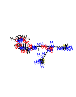 COC(=O)N1C[C@@H]2C(=O)[C@@]23C2=C[C@H](C(=O)c4cc5cc(OC)c(OCCNC(=O)[C@@H](NC(=O)[C@H](C)NC(=O)OCCOCCOCCn6cc(CCC(N)CCOCCOCCN(CC(=O)NCCCCC(N)CCCC[C@@H]7SC[C@@H]8NC(=N)N[C@@H]87)C(OC=O)C(=O)NCCCCC(N)CCCC[C@@H]7SC[C@@H]8NC(=N)N[C@@H]87)nn6)C(C)C)c(OC)c5[nH]4)N[C@H]2CC=C13